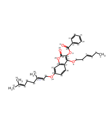 CCC=CCCOc1c(OC(=O)c2ccccc2)c(=O)oc2cc(OC/C=C(\C)CCC=C(C)C)ccc12